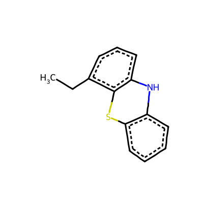 CCc1cccc2c1Sc1ccccc1N2